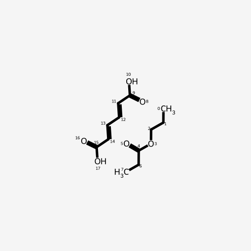 CCCOC(=O)CC.O=C(O)C=CC=CC(=O)O